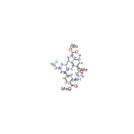 CCCCOC(=O)n1ccc2c(CN3CCN(CC(F)F)C[C@@H]3c3ccc(C(=O)OC)c(NC4COC4)c3)c(OC)cc(C)c21